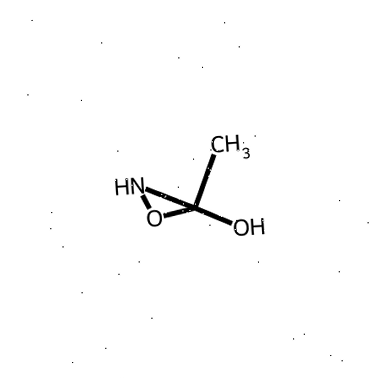 CC1(O)NO1